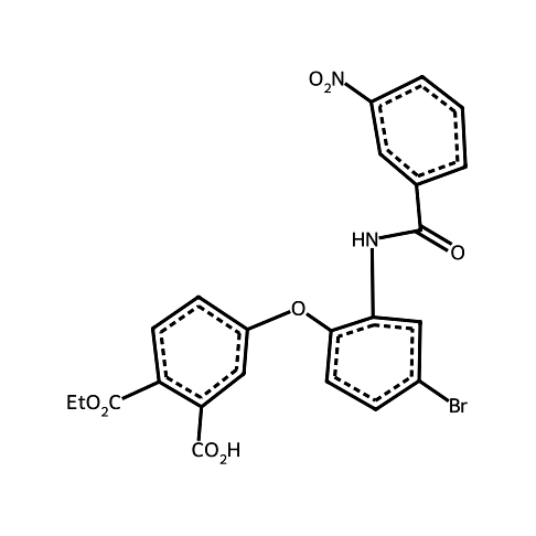 CCOC(=O)c1ccc(Oc2ccc(Br)cc2NC(=O)c2cccc([N+](=O)[O-])c2)cc1C(=O)O